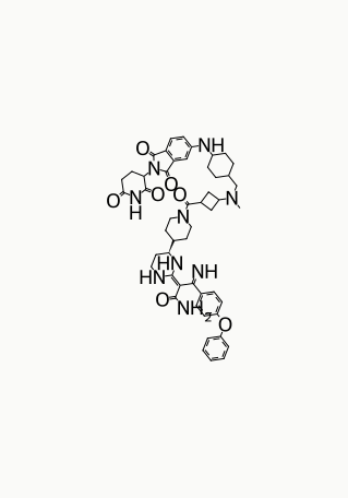 CN(CC1CCC(Nc2ccc3c(c2)C(=O)N(C2CCC(=O)NC2=O)C3=O)CC1)C1CC(C(=O)N2CCC([C@@H]3CCN/C(=C(/C(=N)c4ccc(Oc5ccccc5)cc4)C(N)=O)N3)CC2)C1